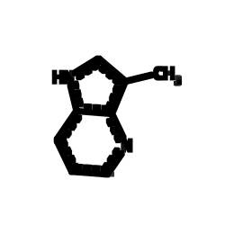 Cc1c[nH]c2cc[c]nc12